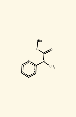 CN(C(=O)OC(C)(C)C)c1ccc[c]n1